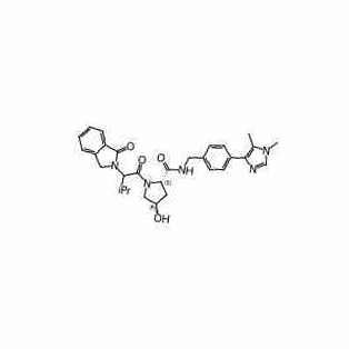 Cc1c(-c2ccc(CNC(=O)[C@@H]3C[C@@H](O)CN3C(=O)C(C(C)C)N3Cc4ccccc4C3=O)cc2)ncn1C